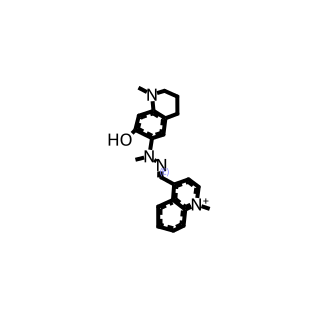 CN1CCCc2cc(N(C)/N=C/c3cc[n+](C)c4ccccc34)c(O)cc21